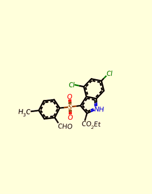 CCOC(=O)c1[nH]c2cc(Cl)cc(Cl)c2c1S(=O)(=O)c1ccc(C)cc1C=O